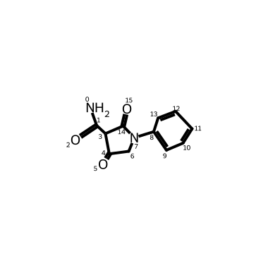 NC(=O)C1C(=O)CN(c2ccccc2)C1=O